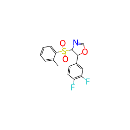 Cc1ccccc1S(=O)(=O)C1N=COC1c1ccc(F)c(F)c1